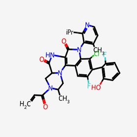 C=CC(=O)N1CC2C(=O)Nc3c(c4cc(F)c(-c5c(O)cccc5F)c(Cl)c4n(-c4c(C)ccnc4C(C)C)c3=O)N2CC1C